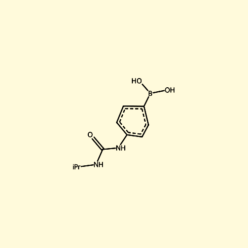 CC(C)NC(=O)Nc1ccc(B(O)O)cc1